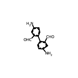 Nc1ccc(-c2ccc(N)cc2C=O)c(C=O)c1